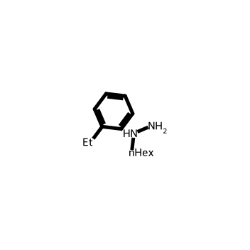 CCCCCCNN.CCc1ccccc1